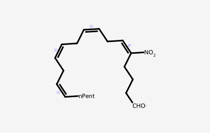 CCCCC/C=C\C/C=C\C/C=C\C/C=C(\CCC[C]=O)[N+](=O)[O-]